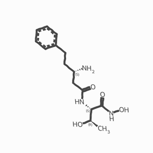 C[C@@H](O)[C@H](NC(=O)C[C@@H](N)CCc1ccccc1)C(=O)NO